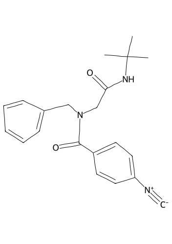 [C-]#[N+]c1ccc(C(=O)N(CC(=O)NC(C)(C)C)Cc2ccccc2)cc1